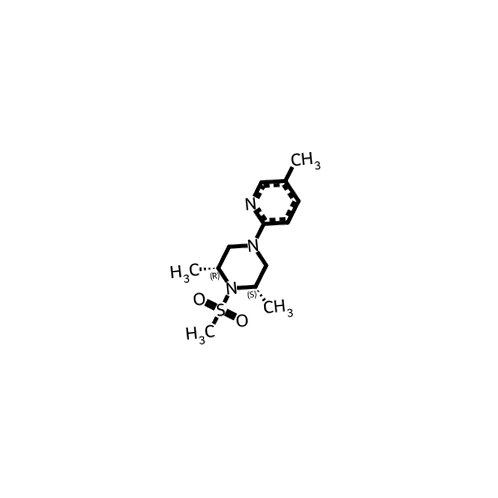 Cc1ccc(N2C[C@@H](C)N(S(C)(=O)=O)[C@@H](C)C2)nc1